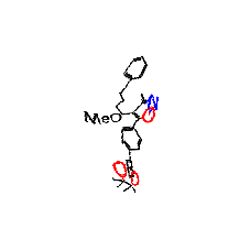 COC(CCCc1ccccc1)c1c(C)noc1-c1ccc(B2OC(C)(C)C(C)(C)O2)cc1